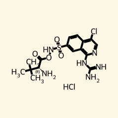 CC(C)(C)[C@@H](N)C(=O)ONS(=O)(=O)c1ccc2c(Cl)cnc(NC(=N)N)c2c1.Cl